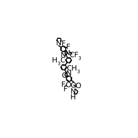 Cc1c(-c2nc3cc(COC(=O)[C@@H]4CCCN4)c(OC(F)F)cc3o2)cccc1-c1cccc(-c2nc3cc(CN4CCCC4)c(F)c(F)c3n2CC(F)(F)F)c1C